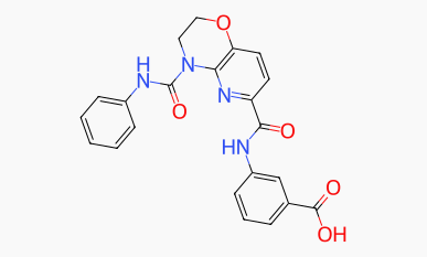 O=C(O)c1cccc(NC(=O)c2ccc3c(n2)N(C(=O)Nc2ccccc2)CCO3)c1